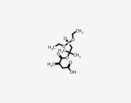 C=C(CC(=O)O)C(=O)OC(C)(C)CP(=O)(OCC)OCC